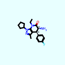 CCN1C(=O)[C@@H](N)[C@@H](c2ccc(F)cc2)c2c(C)nn(C3CCCC3)c21